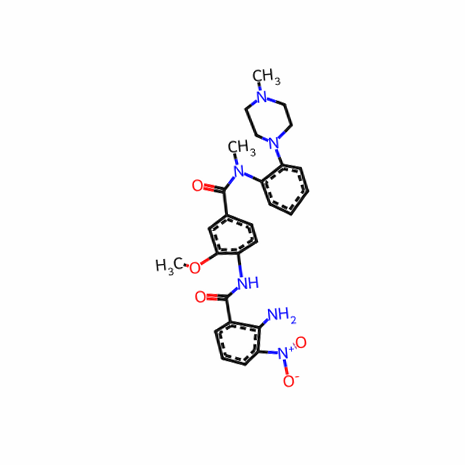 COc1cc(C(=O)N(C)c2ccccc2N2CCN(C)CC2)ccc1NC(=O)c1cccc([N+](=O)[O-])c1N